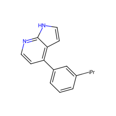 CC(C)c1cccc(-c2ccnc3[nH]ccc23)c1